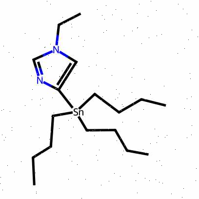 CCC[CH2][Sn]([CH2]CCC)([CH2]CCC)[c]1cn(CC)cn1